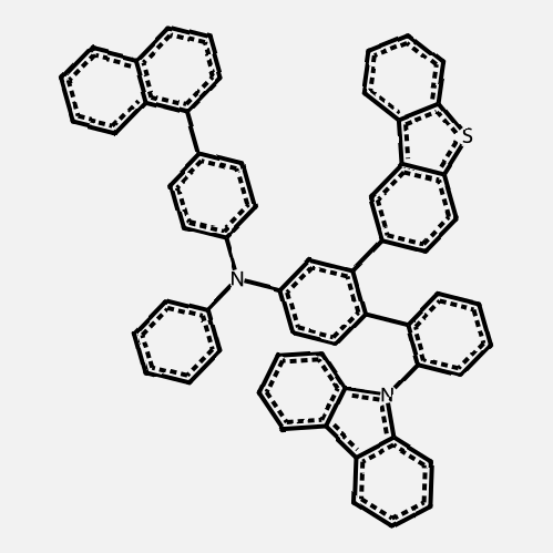 c1ccc(N(c2ccc(-c3cccc4ccccc34)cc2)c2ccc(-c3ccccc3-n3c4ccccc4c4ccccc43)c(-c3ccc4sc5ccccc5c4c3)c2)cc1